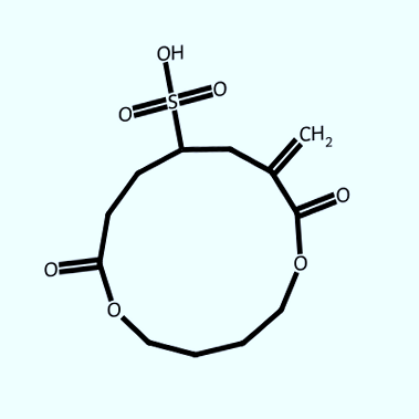 C=C1CC(S(=O)(=O)O)CCC(=O)OCCCCOC1=O